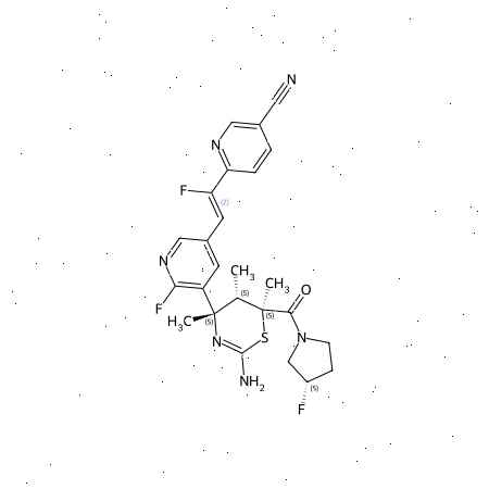 C[C@@H]1[C@@](C)(C(=O)N2CC[C@H](F)C2)SC(N)=N[C@]1(C)c1cc(/C=C(\F)c2ccc(C#N)cn2)cnc1F